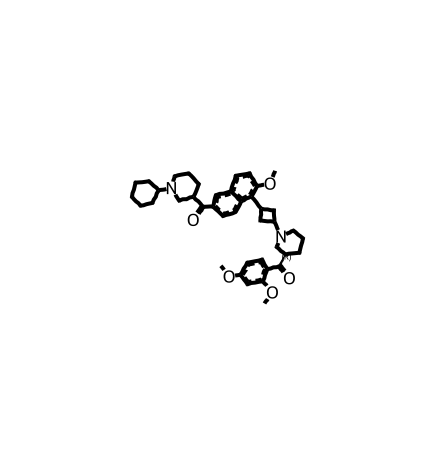 COc1ccc(C(=O)[C@@H]2CCCN(C3CC(c4c(OC)ccc5cc(C(=O)C6CCCN(C7CCCCC7)C6)ccc45)C3)C2)c(OC)c1